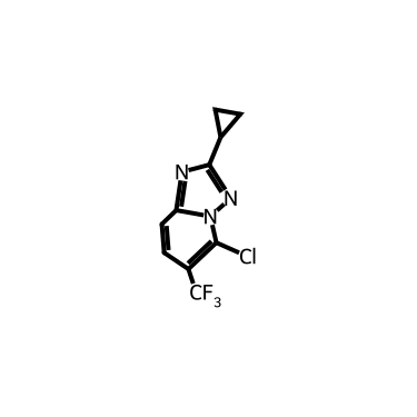 FC(F)(F)c1ccc2nc(C3CC3)nn2c1Cl